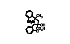 COc1ccccc1C(C)(C)CC(O)(Cc1ccccc1Cl)C(=O)O